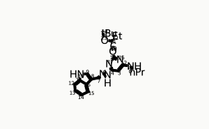 CCCNc1cc(N/N=C/c2c[nH]c3ccccc23)nc(OCC(CC)OC(C)(C)C)n1